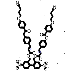 N#CCCCOc1ccc(C(=O)Cc2ccc(/C=C/C(=O)OCc3cc([N+](=O)[O-])ccc3-c3ccc([N+](=O)[O-])cc3COC(=O)/C=C/c3ccc(OC(=O)c4ccc(OCCCC#N)cc4)cc3)cc2)cc1